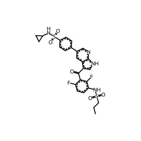 CCCS(=O)(=O)Nc1ccc(F)c(C(=O)c2c[nH]c3ncc(-c4ccc(S(=O)(=O)NC5CC5)cc4)cc23)c1F